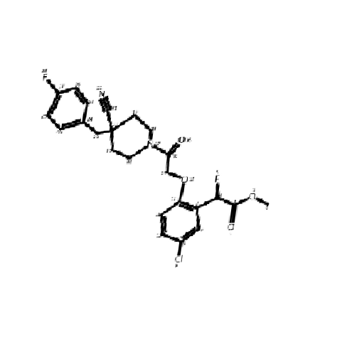 COC(=O)C(F)c1cc(Cl)ccc1OCC(=O)N1CCC(C#N)(Cc2ccc(F)cc2)CC1